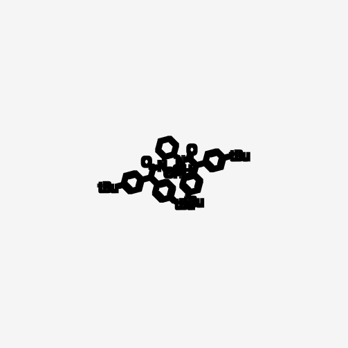 CC(C)(C)c1ccc(C(C(=O)N(O)[C@@H]2CCCC[C@H]2N(O)C(=O)C(c2ccc(C(C)(C)C)cc2)c2ccc(C(C)(C)C)cc2)c2ccc(C(C)(C)C)cc2)cc1